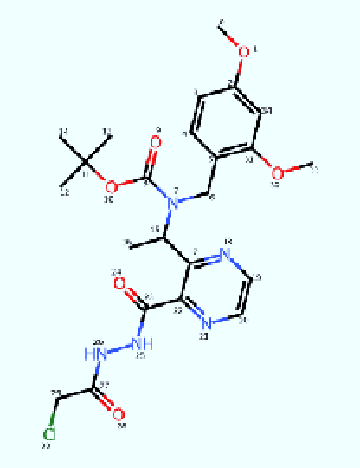 COc1ccc(CN(C(=O)OC(C)(C)C)C(C)c2nccnc2C(=O)NNC(=O)CCl)c(OC)c1